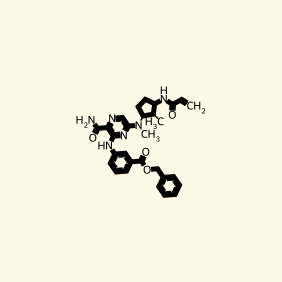 C=CC(=O)NC1CC[C@@H](N(C)c2cnc(C(N)=O)c(Nc3cccc(C(=O)OCc4ccccc4)c3)n2)[C@H]1C